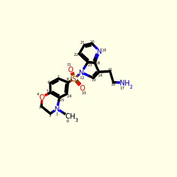 CN1CCOc2ccc(S(=O)(=O)n3cc(CCN)c4ncccc43)cc21